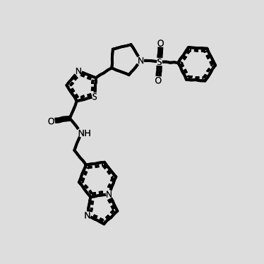 O=C(NCc1ccn2ccnc2c1)c1cnc(C2CCN(S(=O)(=O)c3ccccc3)C2)s1